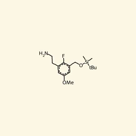 COc1cc(CCN)c(F)c(CO[Si](C)(C)C(C)(C)C)c1